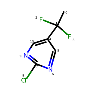 CC(F)(F)c1cnc(Cl)nc1